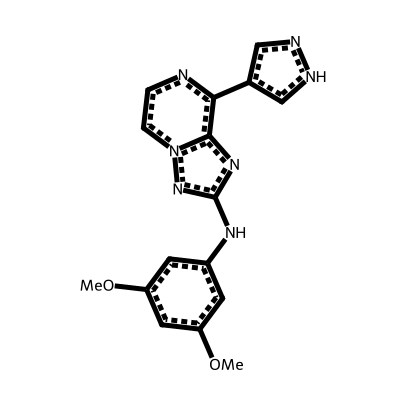 COc1cc(Nc2nc3c(-c4cn[nH]c4)nccn3n2)cc(OC)c1